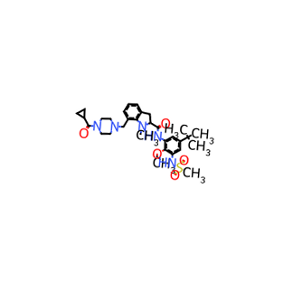 COc1c(NC(=O)C2Cc3cccc(CN4CCN(C(=O)C5CC5)CC4)c3N2C)cc(C(C)(C)C)cc1NS(C)(=O)=O